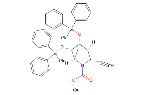 C#C[C@H]1[C@H]2C[C@H]([C@H](O[Si](c3ccccc3)(c3ccccc3)C(C)(C)C)[C@@H]2O[Si](c2ccccc2)(c2ccccc2)C(C)(C)C)N1C(=O)OC(C)(C)C